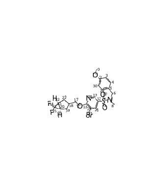 COc1ccc(CN(C)S(=O)(=O)c2cnc(OCC3C[C@@H]4[C@H](C3)C4(F)F)c(Br)c2)cc1